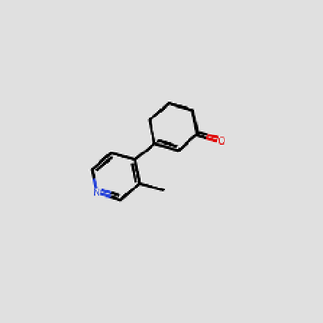 Cc1cnccc1C1=CC(=O)CCC1